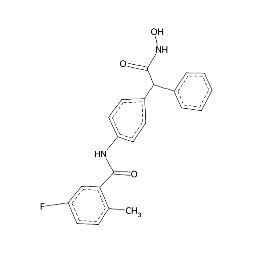 Cc1ccc(F)cc1C(=O)Nc1ccc(C(C(=O)NO)c2ccccc2)cc1